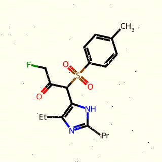 CCc1nc(C(C)C)[nH]c1C(C(=O)CF)S(=O)(=O)c1ccc(C)cc1